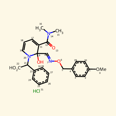 COc1ccc(CON=CC2(O)C(C(=O)N(C)C)=CC=CN2C(C(=O)O)c2ccccc2)cc1.Cl